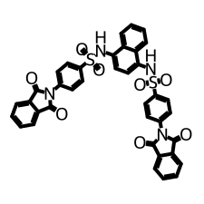 O=C1c2ccccc2C(=O)N1c1ccc(S(=O)(=O)Nc2ccc(NS(=O)(=O)c3ccc(N4C(=O)c5ccccc5C4=O)cc3)c3ccccc23)cc1